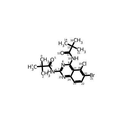 CC(C)(C)C(=O)Nc1nc(NC(=O)C(C)(C)C)c2c(Cl)c(Br)ccc2n1